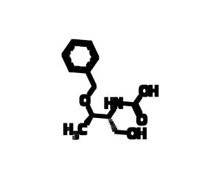 C[C@@H](OCc1ccccc1)[C@@H](CO)NC(=O)O